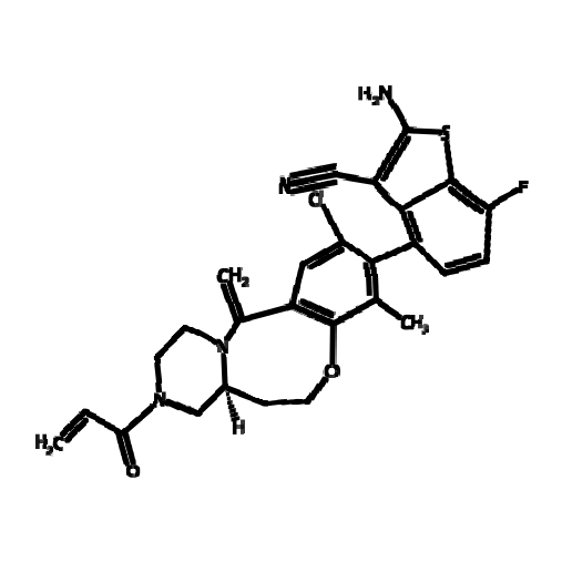 C=CC(=O)N1CCN2C(=C)c3cc(Cl)c(-c4ccc(F)c5sc(N)c(C#N)c45)c(C)c3OCC[C@H]2C1